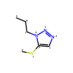 [CH2]Sc1cnnn1CCC